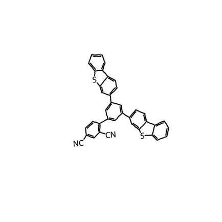 N#Cc1ccc(-c2cc(-c3ccc4c(c3)sc3ccccc34)cc(-c3ccc4c(c3)sc3ccccc34)c2)c(C#N)c1